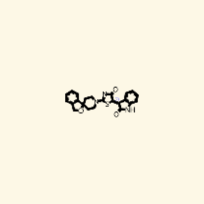 O=C1N=C(N2CCC3(CC2)OCc2ccccc23)S/C1=C1\C(=O)Nc2ccccc21